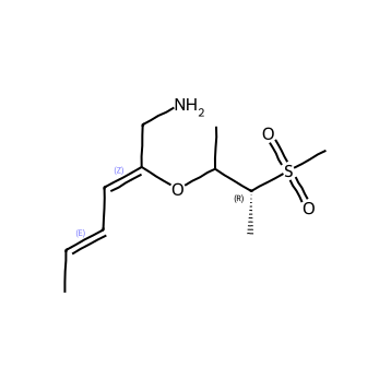 C/C=C/C=C(/CN)OC(C)[C@@H](C)S(C)(=O)=O